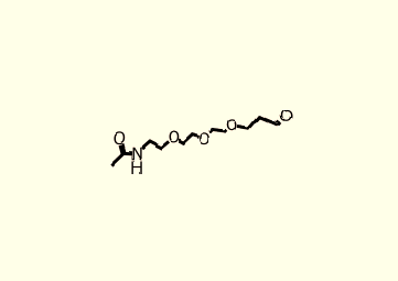 CC(=O)NCCOCCOCCOCCC=O